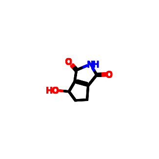 O=C1NC(=O)C2=C1CCC2O